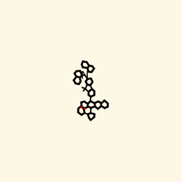 CC1(C)c2cc(-c3c4ccccc4c(-c4ccccc4-c4ccccc4)c4cc5ccccc5cc34)ccc2-c2ccc(N(c3cccc4ccccc34)c3cccc4ccccc34)cc21